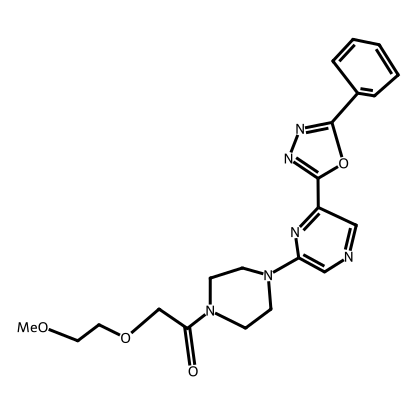 COCCOCC(=O)N1CCN(c2cncc(-c3nnc(-c4ccccc4)o3)n2)CC1